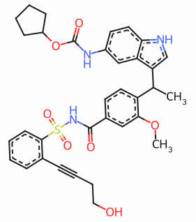 COc1cc(C(=O)NS(=O)(=O)c2ccccc2C#CCCO)ccc1C(C)c1c[nH]c2ccc(NC(=O)OC3CCCC3)cc12